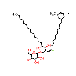 CCCCCCCCCCCCCC[C@@H](O)[C@@H](O)[C@@H](/C=C(/F)CCCCCCCCCC[C@@H]1CC=C[C@@H](C)C1)COC1OC(CO)C(O)C(O)C1O